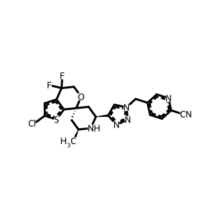 C[C@H]1C[C@@]2(C[C@@H](c3cn(Cc4ccc(C#N)nc4)nn3)N1)OCC(F)(F)c1cc(Cl)sc12